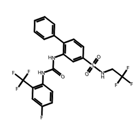 O=C(Nc1cc(S(=O)(=O)NCC(F)(F)F)ccc1-c1ccccc1)Nc1ccc(F)cc1C(F)(F)F